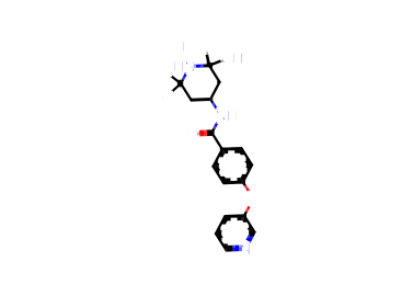 CC1(C)CC(NC(=O)c2ccc(Oc3cccnc3)cc2)CC(C)(C)N1